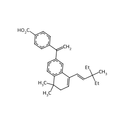 C=C(c1ccc(C(=O)O)cc1)c1ccc2c(c1)C(C=CC(C)(CC)CC)=CCC2(C)C